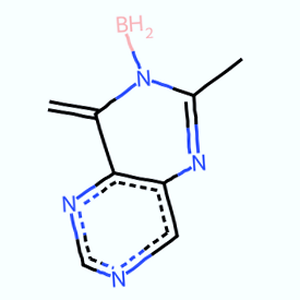 BN1C(=C)c2ncncc2N=C1C